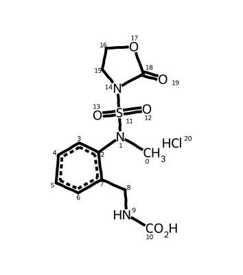 CN(c1ccccc1CNC(=O)O)S(=O)(=O)N1CCOC1=O.Cl